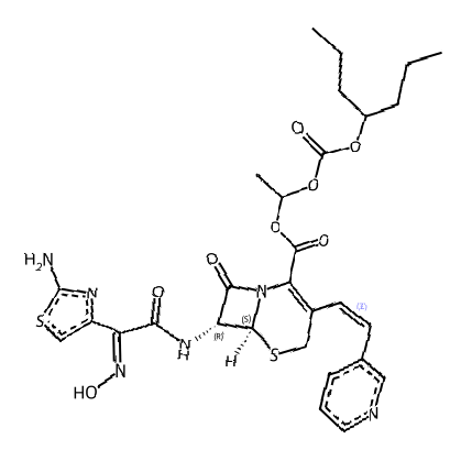 CCCC(CCC)OC(=O)OC(C)OC(=O)C1=C(/C=C\c2cccnc2)CS[C@H]2[C@H](NC(=O)C(=NO)c3csc(N)n3)C(=O)N12